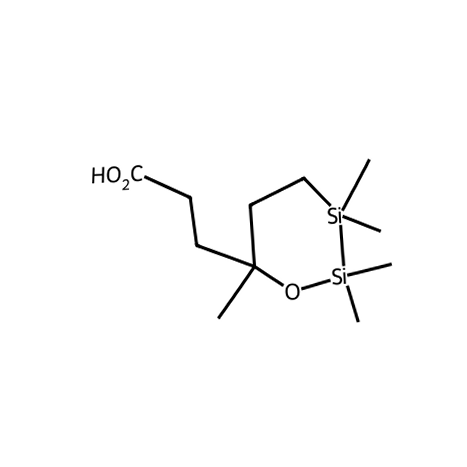 CC1(CCC(=O)O)CC[Si](C)(C)[Si](C)(C)O1